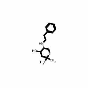 CC1(C)C[C@@H](O)[C@H](NCCc2ccccc2)CO1